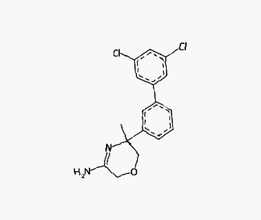 CC1(c2cccc(-c3cc(Cl)cc(Cl)c3)c2)COCC(N)=N1